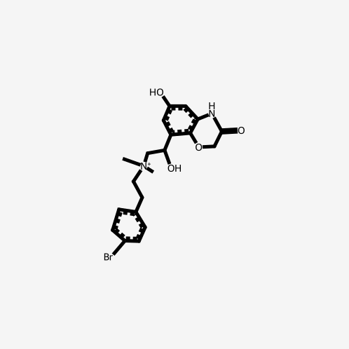 C[N+](C)(CCc1ccc(Br)cc1)CC(O)c1cc(O)cc2c1OCC(=O)N2